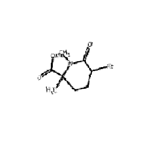 CCC1CCC(C)(C(=O)OC)N(C)C1=O